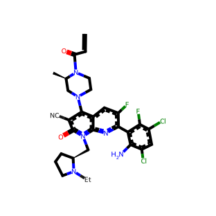 C=CC(=O)N1CCN(c2c(C#N)c(=O)n(C[C@@H]3CCCN3CC)c3nc(-c4c(N)c(Cl)cc(Cl)c4F)c(F)cc23)C[C@H]1C